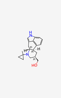 CC1(N2C[C@H](CO)C[C@@H]3c4cccc5[nH]cc(c45)C[C@H]32)CC1